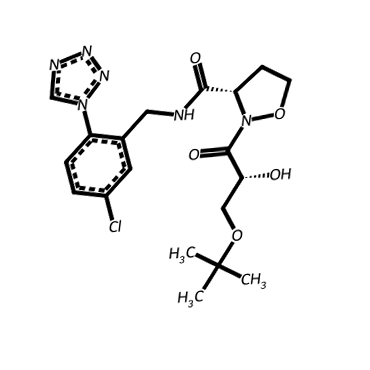 CC(C)(C)OC[C@@H](O)C(=O)N1OCC[C@H]1C(=O)NCc1cc(Cl)ccc1-n1cnnn1